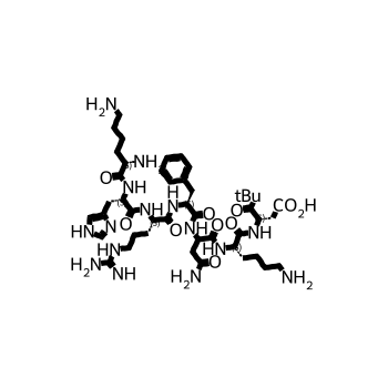 CC(C)(C)C(=O)[C@H](CC(=O)O)NC(=O)[C@H](CCCCN)NC(=O)C(CC(N)=O)NC(=O)[C@H](Cc1ccccc1)NC(=O)[C@H](CCCNC(=N)N)NC(=O)[C@H](Cc1c[nH]cn1)NC(=O)[C@@H](N)CCCCN